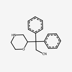 N#CCC(c1ccccc1)(c1ccccc1)C1CNCCO1